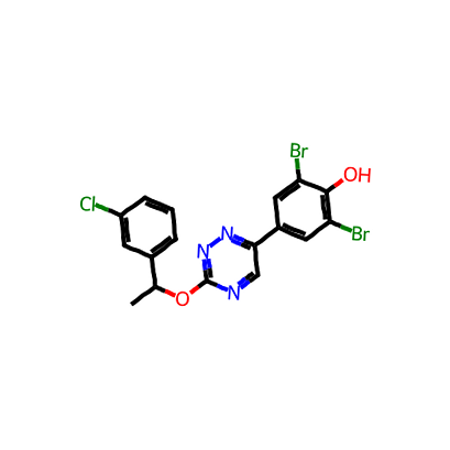 CC(Oc1ncc(-c2cc(Br)c(O)c(Br)c2)nn1)c1cccc(Cl)c1